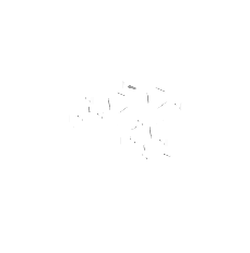 CC1N=C2NC(Oc3ccccc3NC(=N)N)=NC(Oc3cc(C#N)ccc3N(C)C)=C2NC1=O